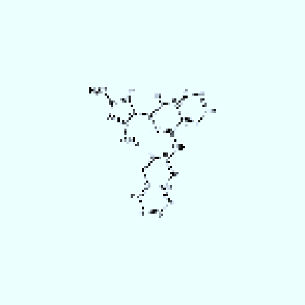 Cc1cc(C)n(-c2nc(Nc3ccc4ccccc4c3)c3ccccc3n2)n1